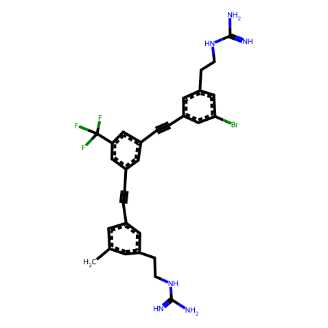 Cc1cc(C#Cc2cc(C#Cc3cc(Br)cc(CCNC(=N)N)c3)cc(C(F)(F)F)c2)cc(CCNC(=N)N)c1